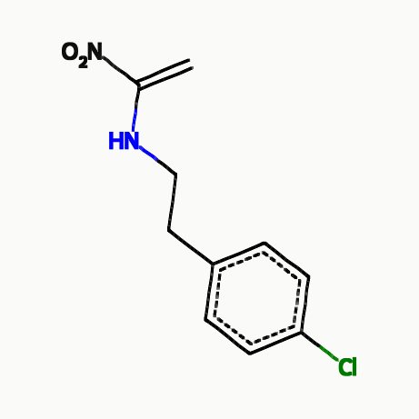 C=C(NCCc1ccc(Cl)cc1)[N+](=O)[O-]